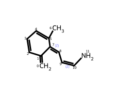 C=c1cccc(C)/c1=C/C=C\N